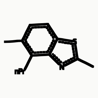 CCCc1c(C)ccc2sc(C)nc12